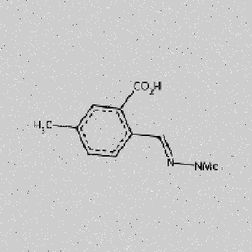 CN/N=C/c1ccc(C)cc1C(=O)O